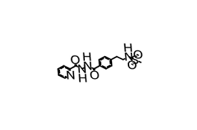 CS(=O)(=O)NCCc1ccc(C(=O)NNC(=O)c2ccccn2)cc1